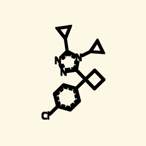 Clc1ccc(C2(c3nnc(C4CC4)n3C3CC3)CCC2)cc1